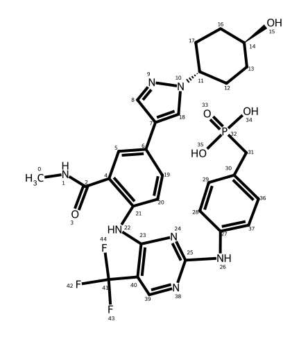 CNC(=O)c1cc(-c2cnn([C@H]3CC[C@H](O)CC3)c2)ccc1Nc1nc(Nc2ccc(CP(=O)(O)O)cc2)ncc1C(F)(F)F